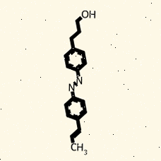 CC=Cc1ccc(N=Nc2ccc(CCCO)cc2)cc1